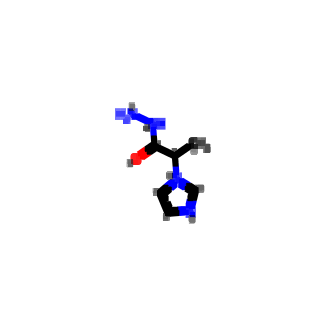 CC(C(=O)NN)n1ccnc1